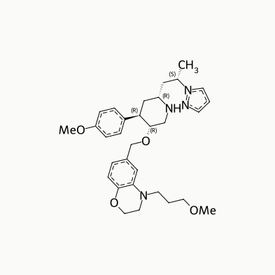 COCCCN1CCOc2ccc(CO[C@H]3CN[C@@H](C[C@H](C)n4cccn4)C[C@@H]3c3ccc(OC)cc3)cc21